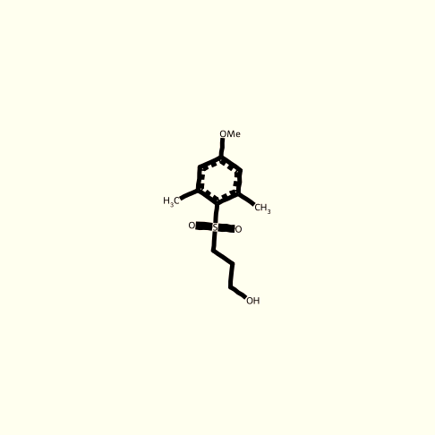 COc1cc(C)c(S(=O)(=O)CCCO)c(C)c1